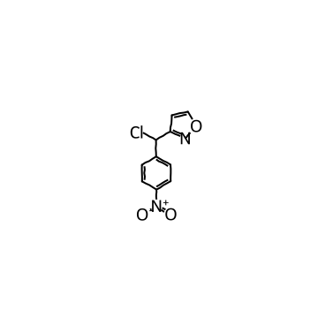 O=[N+]([O-])c1ccc(C(Cl)c2ccon2)cc1